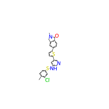 Cc1ccc(SNc2cncc(-c3ccc(-c4ccc5c(c4)CN(C)C5=O)s3)c2)cc1Cl